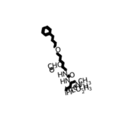 CC(C)C[C@@H](C(=O)O)C(C[N+](C)(C)C)NC(=O)NCCCCCCOCCCCc1ccccc1.O=C[O-]